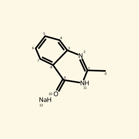 Cc1nc2ccccc2c(=O)[nH]1.[NaH]